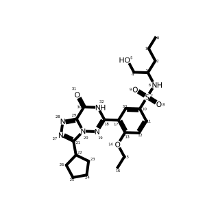 CCCC(CO)NS(=O)(=O)c1ccc(OCC)c(-c2nn3c(C4CCCC4)nnc3c(=O)[nH]2)c1